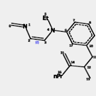 C=N/C=C\N(CC)c1cccc(CC(C)C(=C)CCC)c1